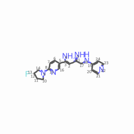 N=C(/C=C(\N)c1ccc(N2CC[C@H](F)C2)nc1)CNc1ccncc1